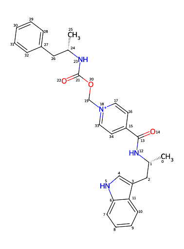 C[C@H](Cc1c[nH]c2ccccc12)NC(=O)c1cc[n+](COC(=O)N[C@@H](C)Cc2ccccc2)cc1